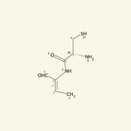 C/C=C(/[C]=O)NC(=O)[C@@H](N)CS